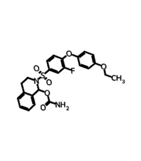 CCOc1ccc(Oc2ccc(S(=O)(=O)N3CCc4ccccc4C3OC(N)=O)cc2F)cc1